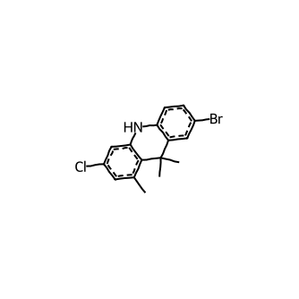 Cc1cc(Cl)cc2c1C(C)(C)c1cc(Br)ccc1N2